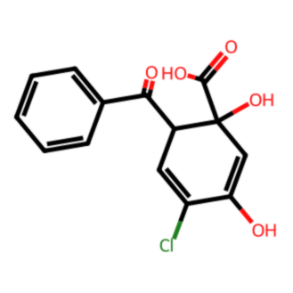 O=C(c1ccccc1)C1C=C(Cl)C(O)=CC1(O)C(=O)O